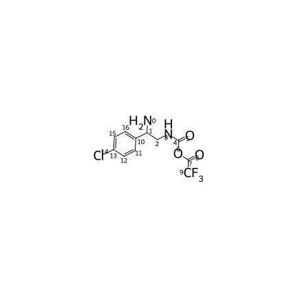 NC(CNC(=O)OC(=O)C(F)(F)F)c1ccc(Cl)cc1